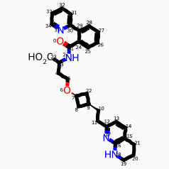 O=C(NC(CCO[C@H]1C[C@H](CCc2ccc3c(n2)NCCC3)C1)C(=O)O)c1ccccc1-c1ccccn1